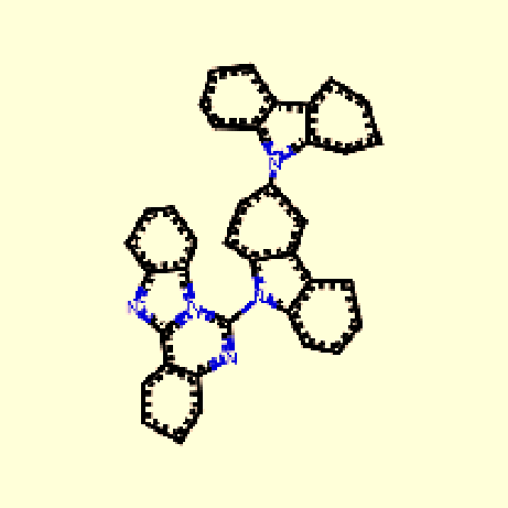 c1ccc2c(c1)nc(-n1c3ccccc3c3cc(-n4c5ccccc5c5ccccc54)ccc31)n1c3ccccc3nc21